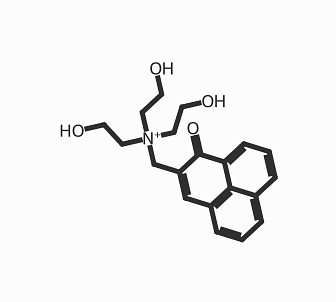 O=C1C(C[N+](CCO)(CCO)CCO)=Cc2cccc3cccc1c23